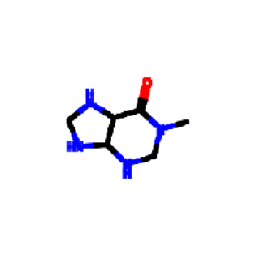 CN1CNC2NCNC2C1=O